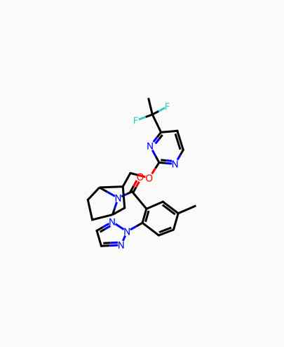 Cc1ccc(-n2nccn2)c(C(=O)N2C3CCC2C(COc2nccc(C(C)(F)F)n2)C3)c1